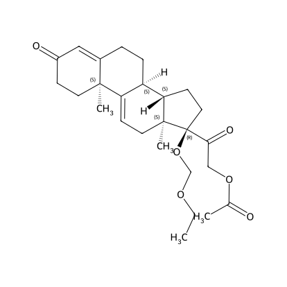 CCOCO[C@]1(C(=O)COC(C)=O)CC[C@H]2[C@@H]3CCC4=CC(=O)CC[C@]4(C)C3=CC[C@@]21C